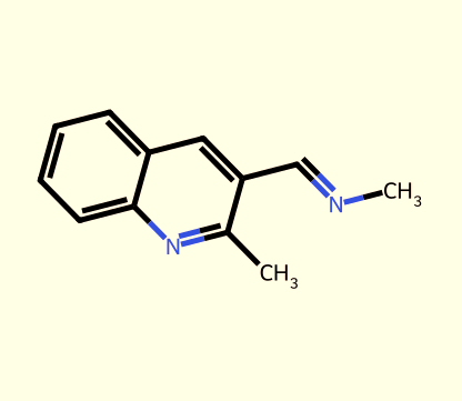 C/N=C/c1cc2ccccc2nc1C